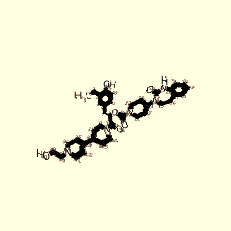 CCc1cc(C[C@@H](OC(=O)N2CCC(N3CCc4ccccc4NC3=O)CC2)C(=O)N2CCC(C3CCN(CCO)CC3)CC2)ccc1O